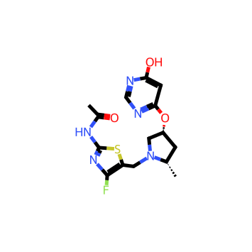 CC(=O)Nc1nc(F)c(CN2C[C@H](Oc3cc(O)ncn3)C[C@@H]2C)s1